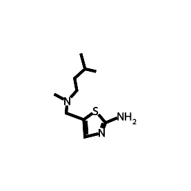 CC(C)CCN(C)Cc1cnc(N)s1